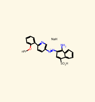 CCCOc1ccccc1-c1ccc(/N=N/c2cc(S(=O)(=O)O)c3ccccc3c2N)cn1.[NaH]